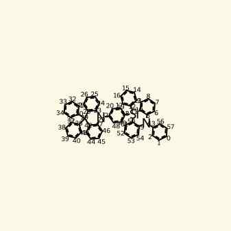 c1ccc(N2c3ccccc3[Si](c3ccccc3)(c3ccc(N4c5ccccc5C(c5ccccc5)(c5ccccc5)c5ccccc54)cc3)c3ccccc32)cc1